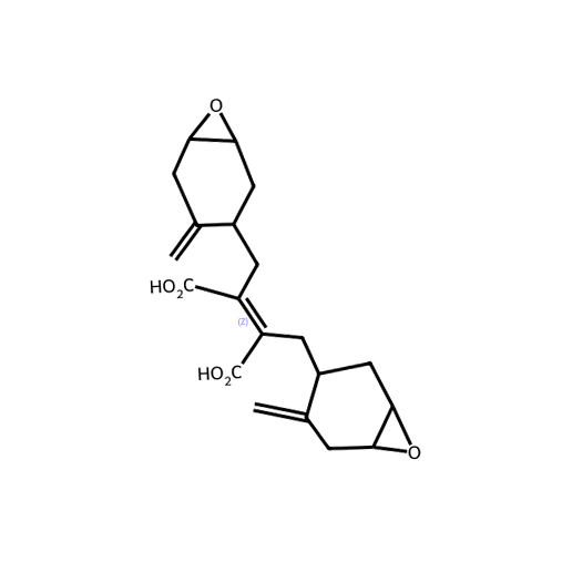 C=C1CC2OC2CC1C/C(C(=O)O)=C(\CC1CC2OC2CC1=C)C(=O)O